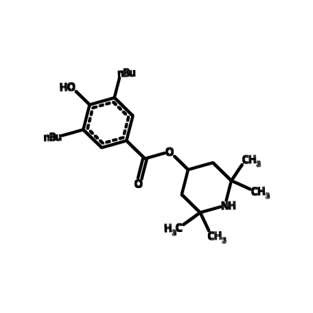 CCCCc1cc(C(=O)OC2CC(C)(C)NC(C)(C)C2)cc(CCCC)c1O